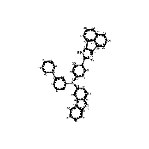 c1ccc(-c2cccc(N(c3ccc(-c4nc5c(o4)-c4cccc6cccc-5c46)cc3)c3ccc4oc5ccccc5c4c3)c2)cc1